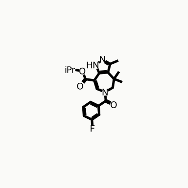 Cc1n[nH]c2c1C(C)(C)CN(C(=O)c1cccc(F)c1)C=C2C(=O)OC(C)C